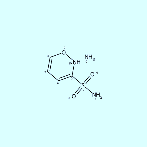 N.NS(=O)(=O)C1=CC=CON1